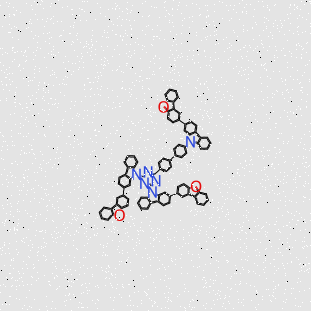 c1ccc2c(c1)oc1ccc(-c3ccc4c5ccccc5n(-c5ccc(-c6ccc(-c7nc(-n8c9ccccc9c9ccc(-c%10ccc%11oc%12ccccc%12c%11c%10)cc98)nc(-n8c9ccccc9c9ccc(-c%10ccc%11oc%12ccccc%12c%11c%10)cc98)n7)cc6)cc5)c4c3)cc12